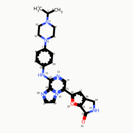 CC(C)N1CCN(c2ccc(Nc3ncc(-c4cc5c(o4)C(=O)NC5)n4ccnc34)cc2)CC1